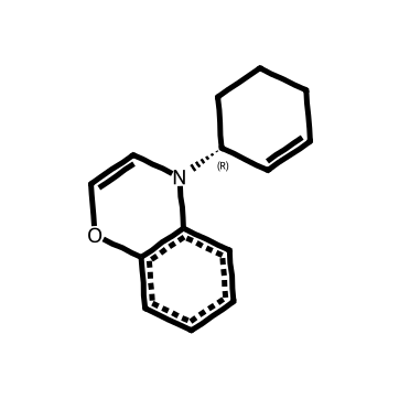 C1=C[C@H](N2C=COc3ccccc32)CCC1